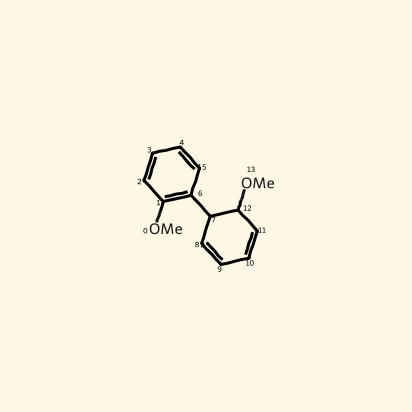 COc1ccc[c]c1C1[C]=CC=CC1OC